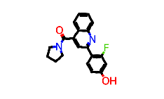 O=C(c1cc(-c2ccc(O)cc2F)nc2ccccc12)N1CCCC1